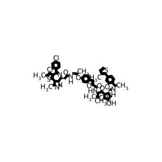 CC1=NN=C2C1c1sc(C)c(C)c1C(c1ccc(Cl)cc1)=N[C@H]2CC(=O)NC[C@@H](C)Oc1ccc2cc(C(=O)N[C@H](C(=O)C3C[C@H](O)C[C@H]3C(=O)NC(C)c3ccc(-c4sccc4C)cc3)C(C)(C)C)oc2c1